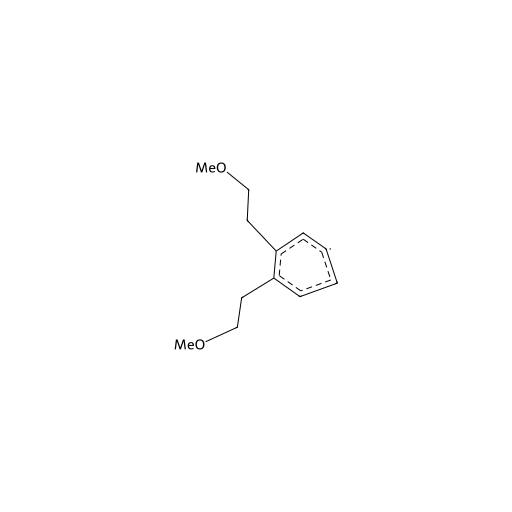 COCCc1c[c]ccc1CCOC